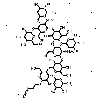 CC(=O)NC1[C@H](O[C@@H]2C(O)[C@H](O[C@@H]3C(CO)O[C@@H](O[C@@H]4C(O)[C@H](O[C@@H]5C(CO)O[C@@H](OCCN=[N+]=[N-])C(NC(C)=O)[C@H]5OC5CC(O)[C@H](O)[C@H](C)O5)OC(CO)[C@@H]4O)C(NC(C)=O)[C@H]3OC3CC(O)[C@H](O)[C@H](C)O3)OC(CO)[C@@H]2O)OC(CO)[C@@H](O[C@@H]2OC(CO)[C@H](O)[C@H](O)C2O)[C@@H]1OC1CC(O)[C@H](O)[C@H](C)O1